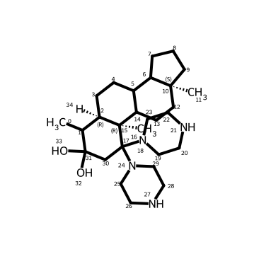 CC1[C@H]2CCC3C4CCC[C@@]4(C)CCC3[C@@]2(C)C(N2CCNCC2)(N2CCNCC2)CC1(O)O